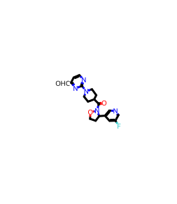 O=Cc1ccnc(N2CCC(C(=O)N3OCCC3c3cncc(F)c3)CC2)n1